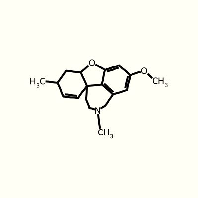 COc1cc2c3c(c1)OC1CC(C)C=CC31CCN(C)C2